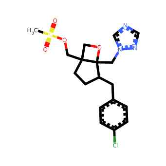 CS(=O)(=O)OCC12CCC(Cc3ccc(Cl)cc3)C1(Cn1cncn1)OC2